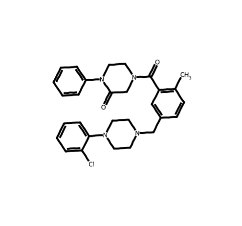 Cc1ccc(CN2CCN(c3ccccc3Cl)CC2)cc1C(=O)N1CCN(c2ccccc2)C(=O)C1